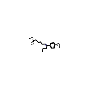 CCC/C(=C\CCCCC(=O)OC)c1ccc(OC)cc1